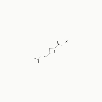 CC(=O)SCC1CC(C(=O)OC(C)(C)C)C1